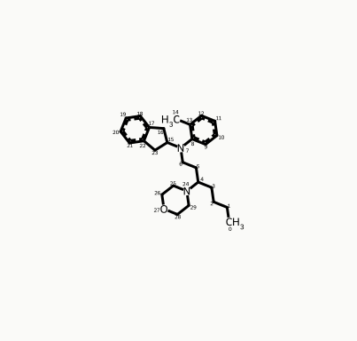 CCCCC(CCN(c1ccccc1C)C1Cc2ccccc2C1)N1CCOCC1